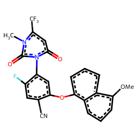 COc1cccc2c(Oc3cc(-n4c(=O)cc(C(F)(F)F)n(C)c4=O)c(F)cc3C#N)cccc12